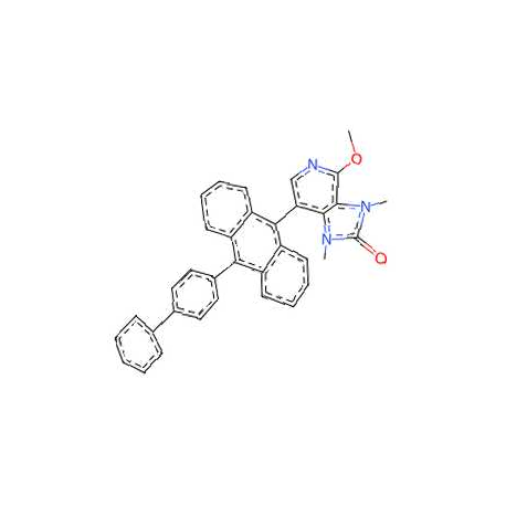 COc1ncc(-c2c3ccccc3c(-c3ccc(-c4ccccc4)cc3)c3ccccc23)c2c1n(C)c(=O)n2C